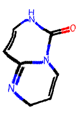 O=C1NC=CC2=NCC=CN12